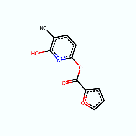 N#Cc1ccc(OC(=O)c2ccco2)nc1O